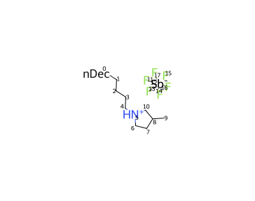 CCCCCCCCCCCCCC[NH+]1CCC(C)C1.[F][Sb-]([F])([F])([F])([F])[F]